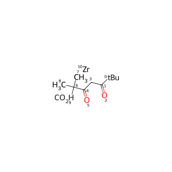 CC(C)(C)C(=O)CC(=O)C(C)(C)C(=O)O.[Zr]